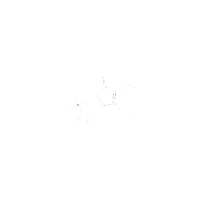 CCn1cc[n+](C)c1C.O=S(=O)(O)C(F)(F)F